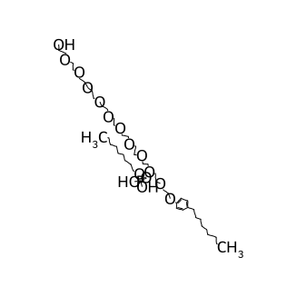 CCCCCCCCCOP(=O)(O)O.CCCCCCCCCc1ccc(OCCOCCOCCOCCOCCOCCOCCOCCOCCOCCOCCO)cc1